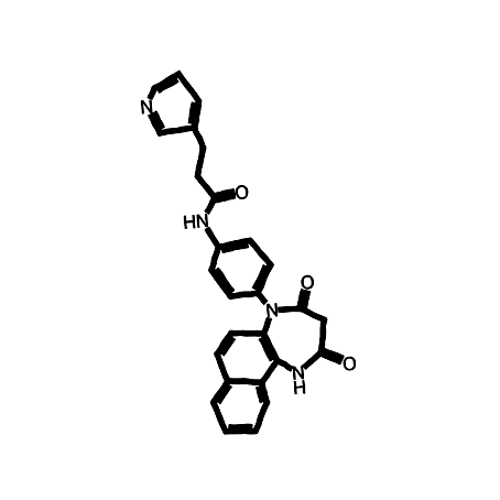 O=C(CCc1cccnc1)Nc1ccc(N2C(=O)CC(=O)Nc3c2ccc2ccccc32)cc1